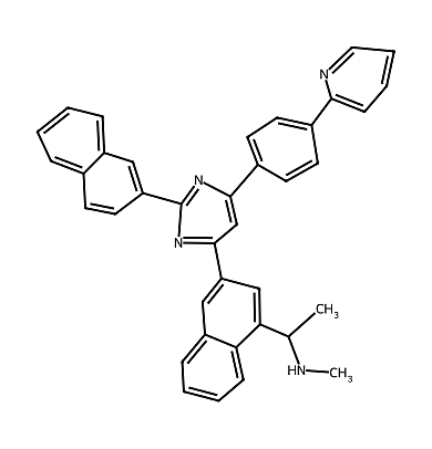 CNC(C)c1cc(-c2cc(-c3ccc(-c4ccccn4)cc3)nc(-c3ccc4ccccc4c3)n2)cc2ccccc12